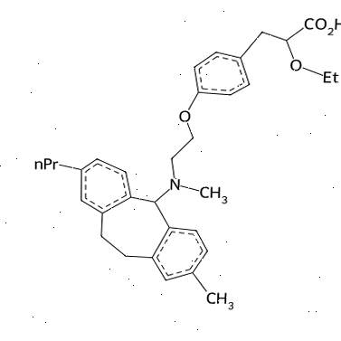 CCCc1ccc2c(c1)CCc1cc(C)ccc1C2N(C)CCOc1ccc(CC(OCC)C(=O)O)cc1